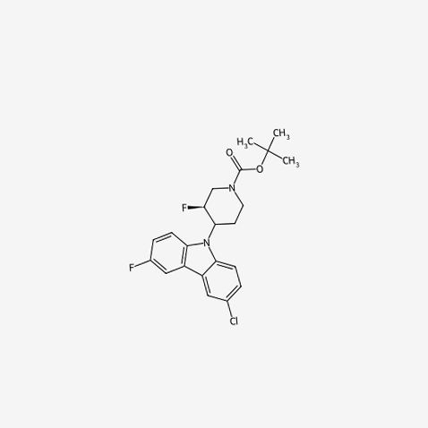 CC(C)(C)OC(=O)N1CCC(n2c3ccc(F)cc3c3cc(Cl)ccc32)[C@@H](F)C1